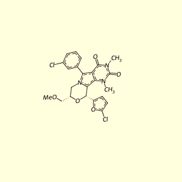 COC[C@@H]1Cn2c(-c3cccc(Cl)c3)c3c(=O)n(C)c(=O)n(C)c3c2[C@H](c2ccc(Cl)o2)O1